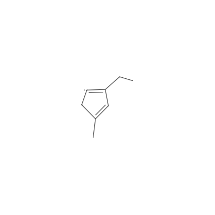 CCC1=[C]CC(C)=C1